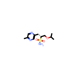 Cc1cnc(C[C@H](COC(C)C)S(N)(=O)=O)cn1